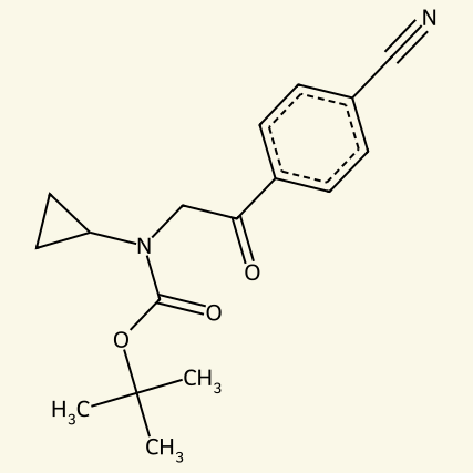 CC(C)(C)OC(=O)N(CC(=O)c1ccc(C#N)cc1)C1CC1